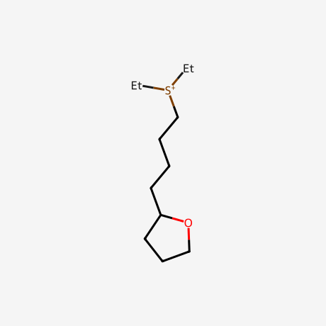 CC[S+](CC)CCCCC1CCCO1